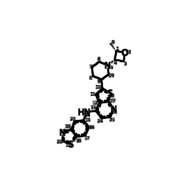 C[C@@H]1OC[C@@H]1N1CCCC(c2cc3c(Nc4ccc5scnc5c4)ccnc3s2)C1